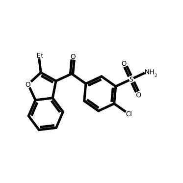 CCc1oc2ccccc2c1C(=O)c1ccc(Cl)c(S(N)(=O)=O)c1